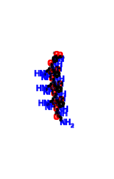 CNC(=O)c1cc(NC(=O)[C@@H](CCCNC(=N)N)NC(=O)c2cc(NC(=O)[C@@H](CCCNC(=N)N)NC(=O)c3cc(NC(=O)[C@@H](CCCNC(=N)N)NC(=O)c4cc(NC(=O)[C@@H](C)NC(=O)CCN)ccc4OC)ccc3OC)ccc2OC)ccc1OC